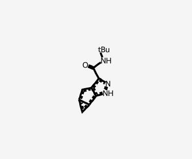 CC(C)(C)NC(=O)c1n[nH]c2c3cc-3cc12